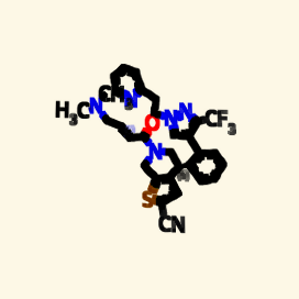 CN(C)C/C=C/C(=O)N1Cc2sc(C#N)cc2[C@H](c2ccccc2-c2cn(CCc3ccccn3)nc2C(F)(F)F)C1